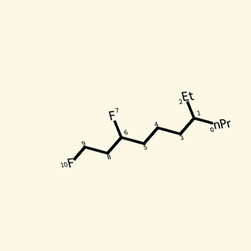 CCCC(CC)CCCC(F)CCF